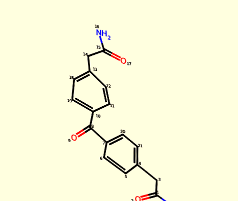 NC(=O)Cc1ccc(C(=O)c2ccc(CC(N)=O)cc2)cc1